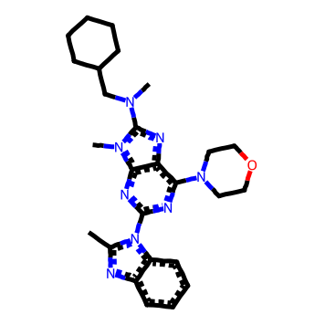 Cc1nc2ccccc2n1-c1nc(N2CCOCC2)c2nc(N(C)CC3CCCCC3)n(C)c2n1